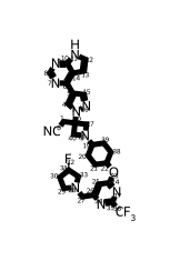 N#CCC1(n2cc(-c3ncnc4[nH]ccc34)cn2)CN(C2CCC(Oc3cc(CN4CC[C@H](F)C4)nc(C(F)(F)F)n3)CC2)C1